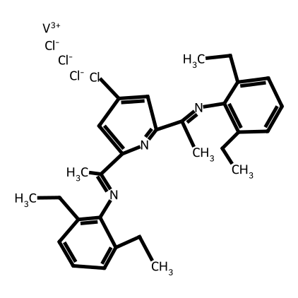 CCc1cccc(CC)c1N=C(C)c1cc(Cl)cc(C(C)=Nc2c(CC)cccc2CC)n1.[Cl-].[Cl-].[Cl-].[V+3]